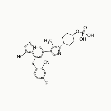 Cc1c(-c2cc(Sc3ccc(F)cc3C#N)c3c(C#N)cnn3c2)cnn1[C@H]1CC[C@H](OP(=O)(O)O)CC1